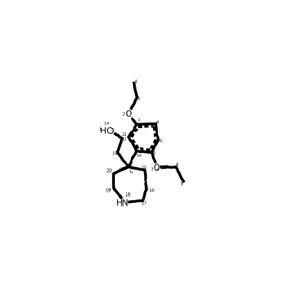 CCOc1ccc(OCC)c(C2(CCO)CCCNCC2)c1